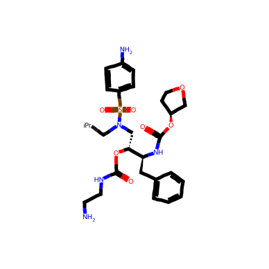 CC(C)CN(C[C@@H](OC(=O)NCCN)[C@H](Cc1ccccc1)NC(=O)O[C@H]1CCOC1)S(=O)(=O)c1ccc(N)cc1